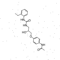 CCc1ccccc1NC(=O)NCC(O)COc1ccc(NC(C)=O)cc1